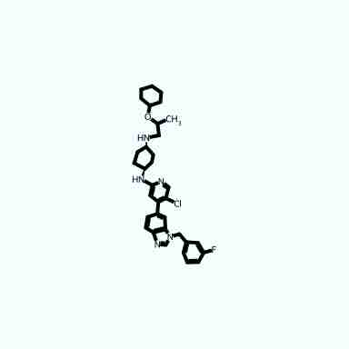 CC(CN[C@H]1CC[C@H](Nc2cc(-c3ccc4ncn(Cc5cccc(F)c5)c4c3)c(Cl)cn2)CC1)OC1CCCCC1